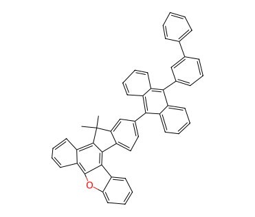 CC1(C)c2cc(-c3c4ccccc4c(-c4cccc(-c5ccccc5)c4)c4ccccc34)ccc2-c2c1c1ccccc1c1oc3ccccc3c21